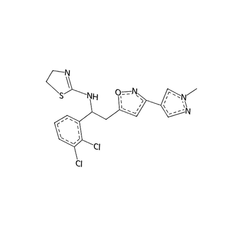 Cn1cc(-c2cc(CC(NC3=NCCS3)c3cccc(Cl)c3Cl)on2)cn1